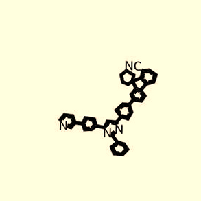 N#Cc1cccc2c1C1(CCCCC1)c1cc(-c3ccc(-c4cc(-c5ccc(-c6cccnc6)cc5)nc(-c5ccccc5)n4)cc3)ccc1-2